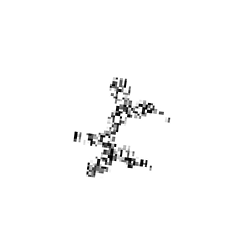 COc1ccc(OB(Oc2ccc(OC)cc2)Oc2ccc(OCc3cc(OC)cc(OB(Oc4cccc(OC)c4)Oc4cccc(OC)c4)c3)cc2)cc1